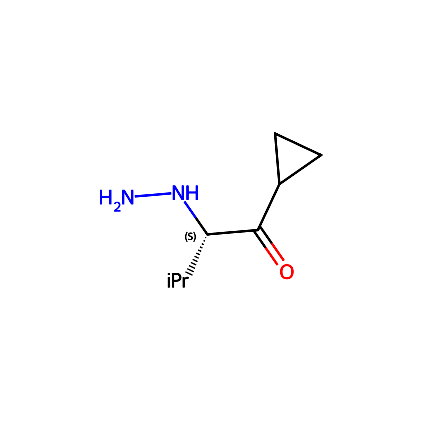 CC(C)[C@H](NN)C(=O)C1CC1